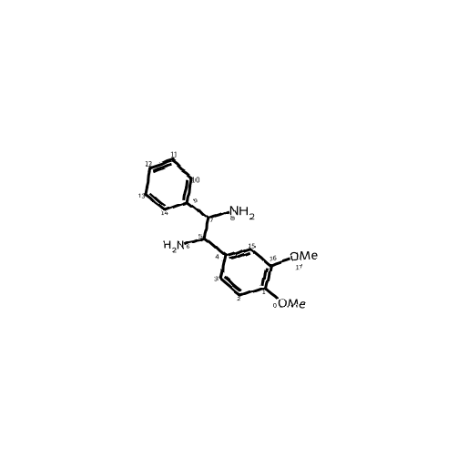 COc1ccc(C(N)C(N)c2ccccc2)cc1OC